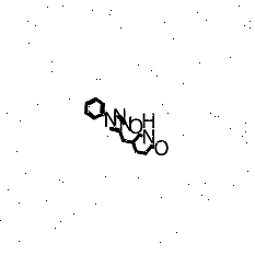 O=C1CCC(Cc2cn(-c3ccccc3)nn2)C(=O)N1